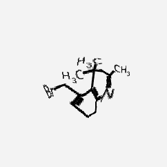 CC1=NC2=C(C(CBr)=CCC2)C1(C)C